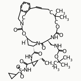 C=C[C@@H]1C[C@]1(NC(=O)[C@@H]1C[C@@H]2CN1C(=O)[C@H](CNC(=O)OC(C)(C)C)NC(=O)OCC(C)(C)CC/C=C/c1cccc3c1CN(C3)C(=O)O2)C(=O)NS(=O)(=O)C1CC1